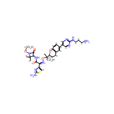 CC(O/N=C(\C(=O)NC1C(=O)N(OS(=O)(=O)O)C1(C)C)c1csc(N)n1)(C(=O)O)C1CCc2cc(-c3cnc(NCCCN)nc3)ccc2O1